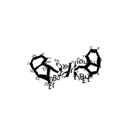 CCC[CH2][Ti]([CH2]CCC)([CH]1C(CC)=Cc2ccccc21)[C](C)(C)[Ti]([CH2]CCC)([CH2]CCC)[CH]1C(CC)=Cc2ccccc21